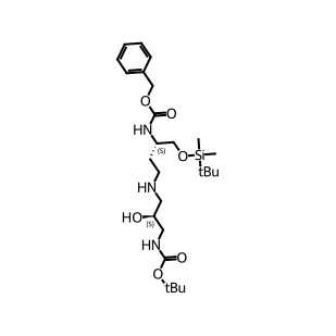 CC(C)(C)OC(=O)NC[C@@H](O)CNCC[C@@H](CO[Si](C)(C)C(C)(C)C)NC(=O)OCc1ccccc1